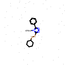 CCCCCCn1c(SSC2CCCCC2)nnc1-c1ccccc1